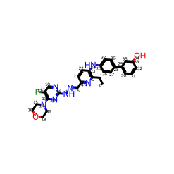 CCc1nc(/C=N/Nc2ncc(F)c(N3CCOCC3)n2)ccc1Nc1ccc(-c2cccc(O)c2)cc1